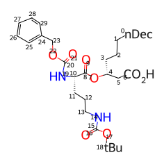 CCCCCCCCCCCCC[C@H](CC(=O)O)OC(=O)[C@H](CCCNC(=O)OC(C)(C)C)NC(=O)OCc1ccccc1